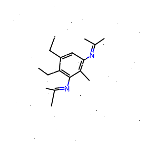 CCc1cc(N=C(C)C)c(C)c(N=C(C)C)c1CC